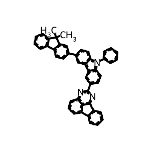 CC1(C)c2ccccc2-c2ccc(-c3ccc4c(c3)c3cc(-c5nc6c7c(cccc7n5)-c5ccccc5-6)ccc3n4-c3ccccc3)cc21